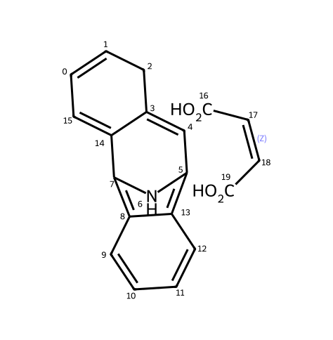 C1=CCC2=Cc3[nH]c(c4ccccc34)C2=C1.O=C(O)/C=C\C(=O)O